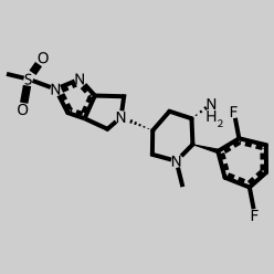 CN1C[C@H](N2Cc3cn(S(C)(=O)=O)nc3C2)C[C@H](N)[C@H]1c1cc(F)ccc1F